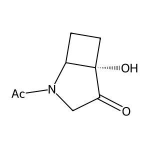 CC(=O)N1CC(=O)[C@]2(O)CCC12